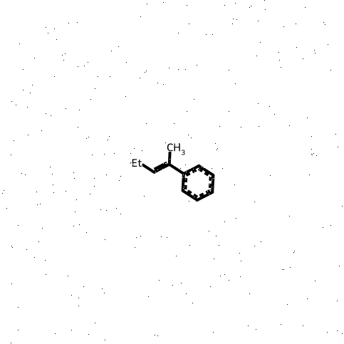 C[CH]C=C(C)c1ccccc1